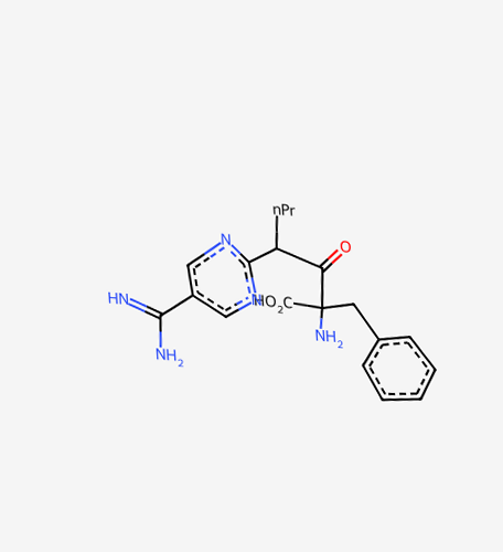 CCCC(C(=O)C(N)(Cc1ccccc1)C(=O)O)c1ncc(C(=N)N)cn1